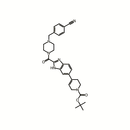 CC(C)(C)OC(=O)N1CC=C(c2ccc3nc(C(=O)N4CCN(Cc5ccc(C#N)cc5)CC4)[nH]c3c2)CC1